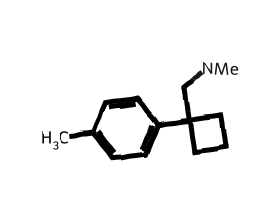 CNCC1(c2ccc(C)cc2)CCC1